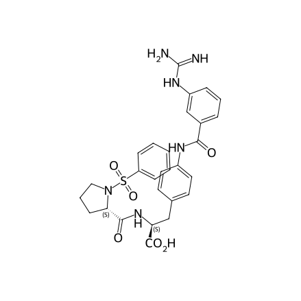 N=C(N)Nc1cccc(C(=O)Nc2ccc(C[C@H](NC(=O)[C@@H]3CCCN3S(=O)(=O)c3ccccc3)C(=O)O)cc2)c1